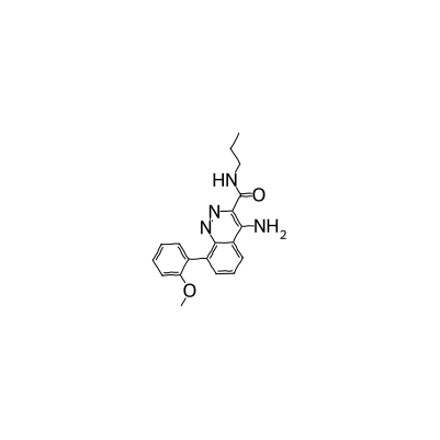 CCCNC(=O)c1nnc2c(-c3ccccc3OC)cccc2c1N